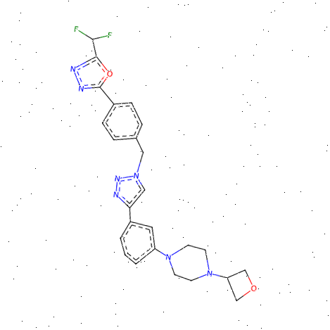 FC(F)c1nnc(-c2ccc(Cn3cc(-c4cccc(N5CCN(C6COC6)CC5)c4)nn3)cc2)o1